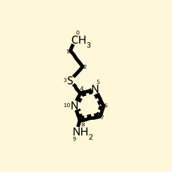 CCCSc1nccc(N)n1